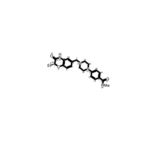 CC[C@@H]1Oc2ccc(CN3CCN(c4ccc(C(=O)NC)cc4)CC3)cc2NC1=O